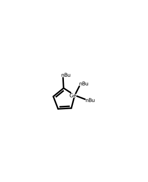 CCCC[C]1=CC=[CH][Ge]1([CH2]CCC)[CH2]CCC